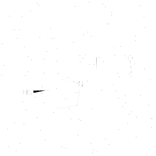 S[C@@H]1CCN(C2CCOCC2)C1